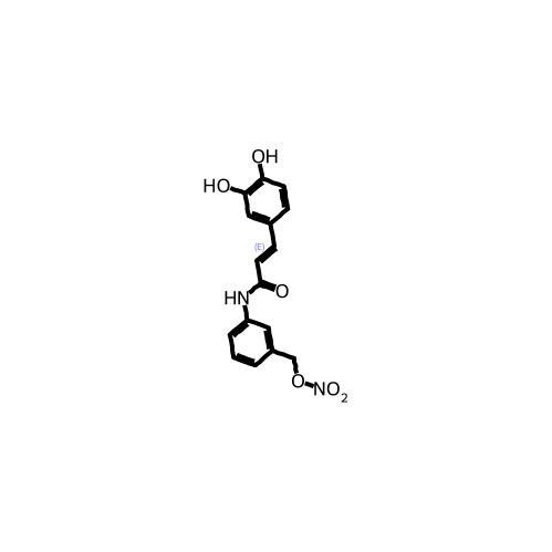 O=C(/C=C/c1ccc(O)c(O)c1)Nc1cccc(CO[N+](=O)[O-])c1